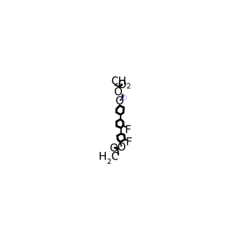 C=CC(=O)O/C=C\Oc1ccc(-c2ccc(-c3ccc(OC(=O)C=C)c(F)c3)c(F)c2)cc1